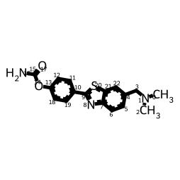 CN(C)Cc1ccc2nc(-c3ccc(OC(N)=O)cc3)sc2c1